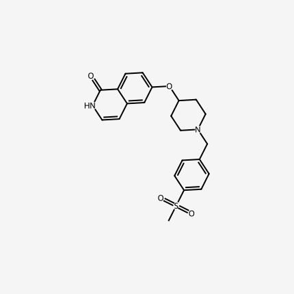 CS(=O)(=O)c1ccc(CN2CCC(Oc3ccc4c(=O)[nH]ccc4c3)CC2)cc1